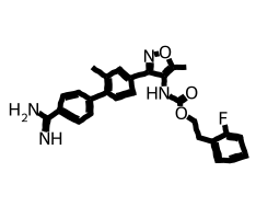 Cc1cc(-c2noc(C)c2NC(=O)OCCc2ccccc2F)ccc1-c1ccc(C(=N)N)cc1